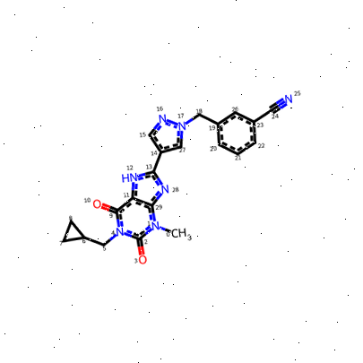 Cn1c(=O)n(CC2CC2)c(=O)c2[nH]c(-c3cnn(Cc4cccc(C#N)c4)c3)nc21